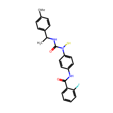 COc1ccc(C(C)NC(=O)N(S)c2ccc(NC(=O)c3ccccc3F)cc2)cc1